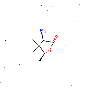 C[C@@H]1OC(=O)[C@H](N)C1(C)C